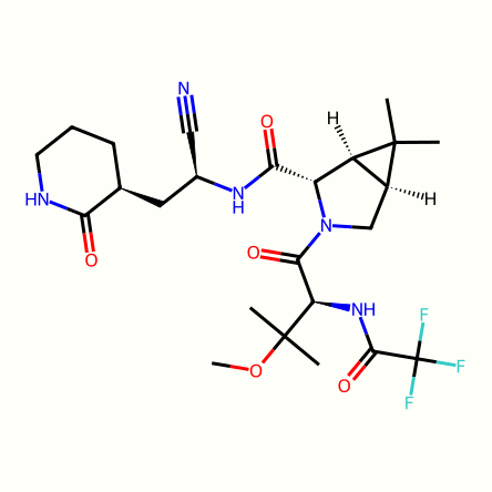 COC(C)(C)[C@H](NC(=O)C(F)(F)F)C(=O)N1C[C@H]2[C@@H]([C@H]1C(=O)N[C@H](C#N)C[C@@H]1CCCNC1=O)C2(C)C